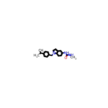 CNC(=O)Nc1ccc2c(ccn2Cc2ccc(C(C)C)cc2)c1